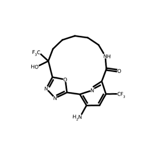 Nc1cc(C(F)(F)F)c2nc1-c1nnc(o1)C(O)(C(F)(F)F)CCCCCNC2=O